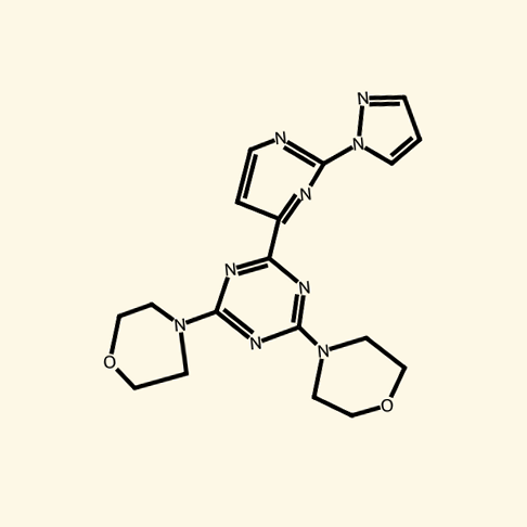 c1cnn(-c2nccc(-c3nc(N4CCOCC4)nc(N4CCOCC4)n3)n2)c1